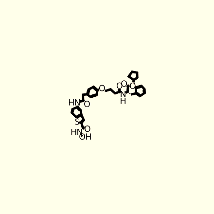 O=C(Cc1ccc(OCCCC(=O)N[C@@H](Cc2ccccc2)C(=O)OC2CCCC2)cc1)Nc1ccc2sc(C(=O)NO)cc2c1